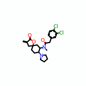 C=C1CC2(CCC(N3CCCC3)C(N(C)C(=O)Cc3ccc(Cl)c(Cl)c3)C2)OC1=O